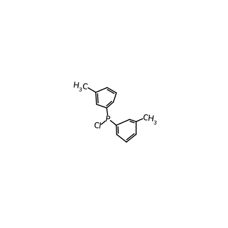 Cc1cccc(P(Cl)c2cccc(C)c2)c1